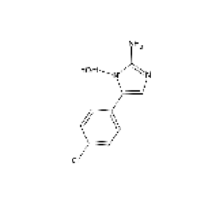 CCCCCCCCn1c(-c2ccc(Cl)cc2)cnc1N